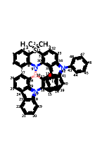 C[Si]1(C)c2ccccc2N(B2c3ccccc3-n3c4ccccc4c4cccc2c43)c2c1ccc1c2c2ccccc2n1-c1ccccc1